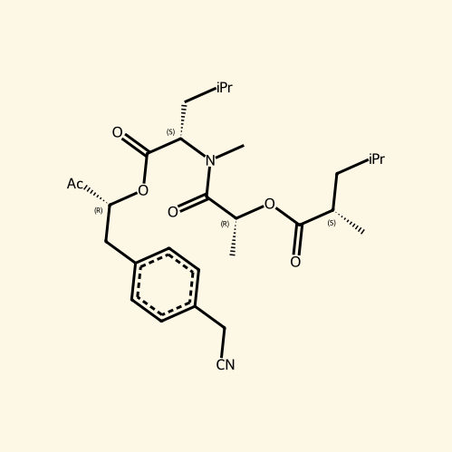 CC(=O)[C@@H](Cc1ccc(CC#N)cc1)OC(=O)[C@H](CC(C)C)N(C)C(=O)[C@@H](C)OC(=O)[C@@H](C)CC(C)C